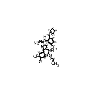 C=CCOC(=O)NC1CN(/C(=N\C#N)Nc2cc(C(F)(F)F)ccc2CN2CCCC2)N=C1c1ccc(Cl)c(Cl)c1